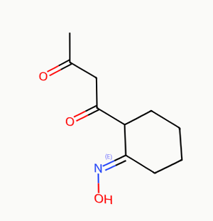 CC(=O)CC(=O)C1CCCC/C1=N\O